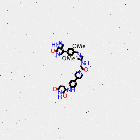 COc1cc(-c2cn(C)c(=O)c3[nH]ncc23)cc(OC)c1CN1CC(NCC(=O)N2CCC(c3ccc(NC4CCC(=O)NC4=O)cc3)CC2)C1